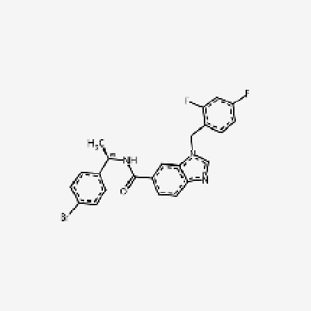 C[C@@H](NC(=O)c1ccc2ncn(Cc3ccc(F)cc3F)c2c1)c1ccc(Br)cc1